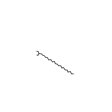 [CH2]CCCCCCCCCCCCCCCCCCCCC(C[CH2])CC